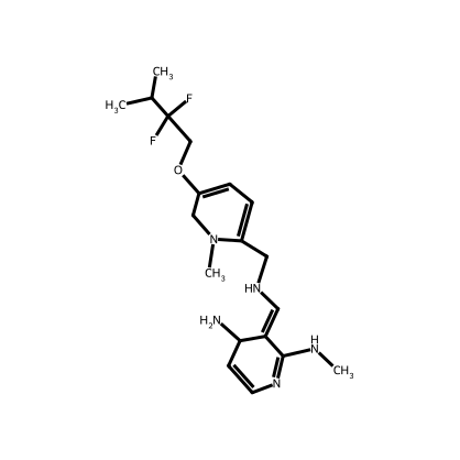 CNC1=NC=CC(N)/C1=C\NCC1=CC=C(OCC(F)(F)C(C)C)CN1C